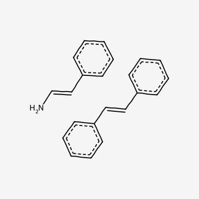 C(=Cc1ccccc1)c1ccccc1.NC=Cc1ccccc1